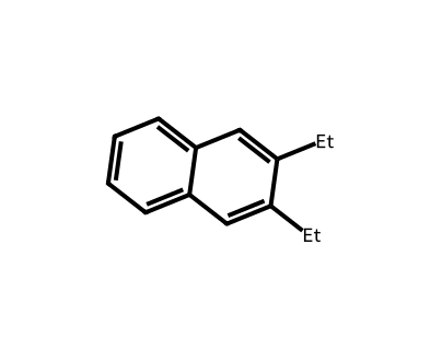 CCc1cc2ccccc2cc1CC